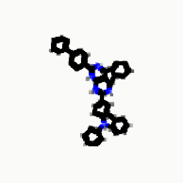 c1ccc(-c2ccc(-c3nc4c5c(nc(-c6ccc7c(c6)c6ccccc6n7-c6ccccc6)nc5n3)-c3ccccc3-4)cc2)cc1